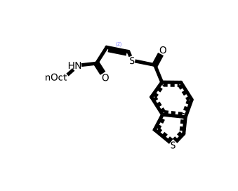 CCCCCCCCNC(=O)/C=C\SC(=O)c1ccc2cscc2c1